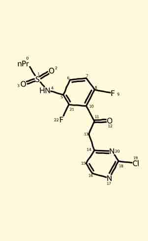 CCCS(=O)(=O)Nc1ccc(F)c(C(=O)Cc2ccnc(Cl)n2)c1F